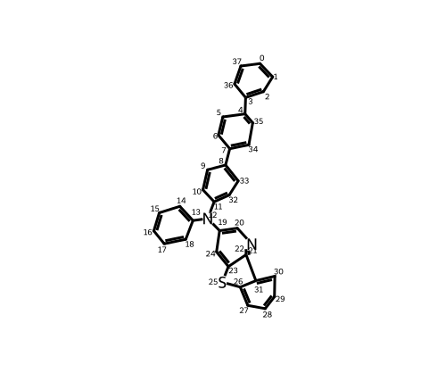 c1ccc(-c2ccc(-c3ccc(N(c4ccccc4)c4cnc5c(c4)sc4ccccc45)cc3)cc2)cc1